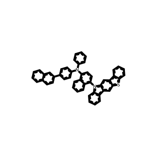 c1ccc(N(c2ccc(-c3ccc4ccccc4c3)cc2)c2ccc(-n3c4ccccc4c4cc5sc6ccccc6c5cc43)c3ccccc23)cc1